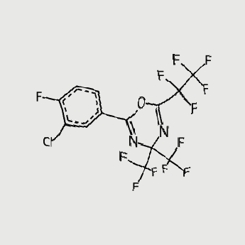 Fc1ccc(C2=NC(C(F)(F)F)(C(F)(F)F)N=C(C(F)(F)C(F)(F)F)O2)cc1Cl